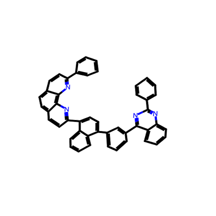 c1ccc(-c2ccc3ccc4ccc(-c5ccc(-c6cccc(-c7nc(-c8ccccc8)nc8ccccc78)c6)c6ccccc56)nc4c3n2)cc1